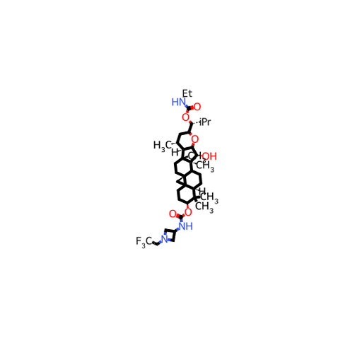 CCNC(=O)O[C@H](C(C)C)C1C[C@@H](C)[C@H]2C(O1)[C@H](O)[C@@]1(C)C3CC[C@H]4C(C)(C)[C@@H](OC(=O)NC5CN(CC(F)(F)F)C5)CCC45C[C@@]35CC[C@]21C